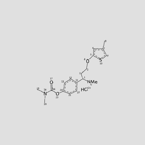 CNC(CCOc1cc(C)cs1)c1ccc(OC(=O)N(C)C)cc1.Cl